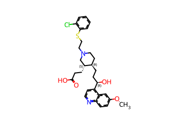 COc1ccc2nccc([C@H](O)CC[C@@H]3CCN(CCSc4ccccc4Cl)C[C@H]3CCC(=O)O)c2c1